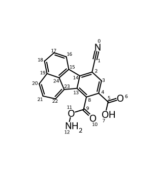 N#Cc1cc(C(=O)O)c(C(=O)ON)c2c1-c1cccc3cccc-2c13